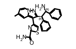 Cc1ccn2nc([C@H](c3ccccc3)[C@@H](N)c3ccccc3)c(-c3csc(C(N)=O)n3)c2c1